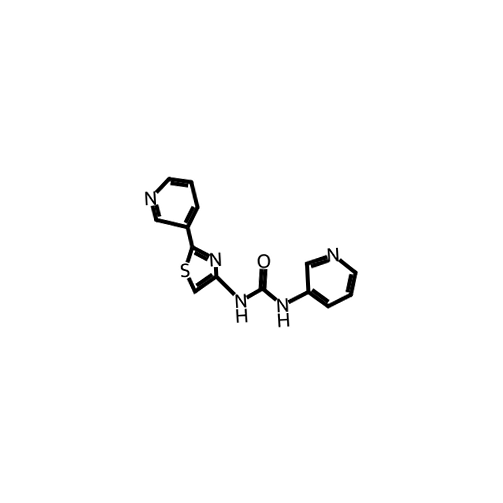 O=C(Nc1cccnc1)Nc1csc(-c2cccnc2)n1